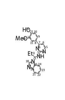 CCC(Nc1nccc(-c2ccc(O)c(OC)c2)n1)n1cnc2ccccc21